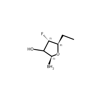 B[C@@H]1O[C@H](CC)[C@@H](F)C1O